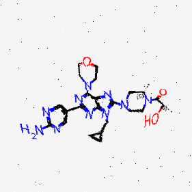 C[C@H](O)C(=O)N1CCN(c2nc3c(N4CCOCC4)nc(-c4cnc(N)nc4)nc3n2CC2CC2)C[C@@H]1C